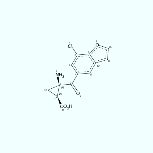 N[C@]1(C(=O)c2cc(Cl)c3occc3c2)C[C@@H]1C(=O)O